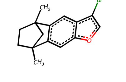 CC12CCC(C)(C1)c1cc3c(Br)coc3cc12